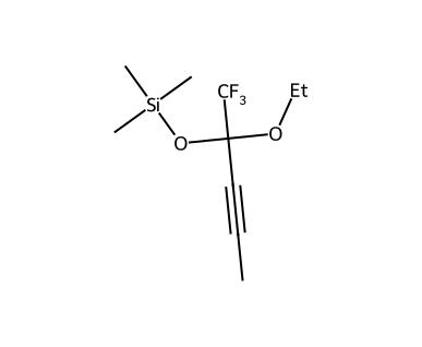 CC#CC(OCC)(O[Si](C)(C)C)C(F)(F)F